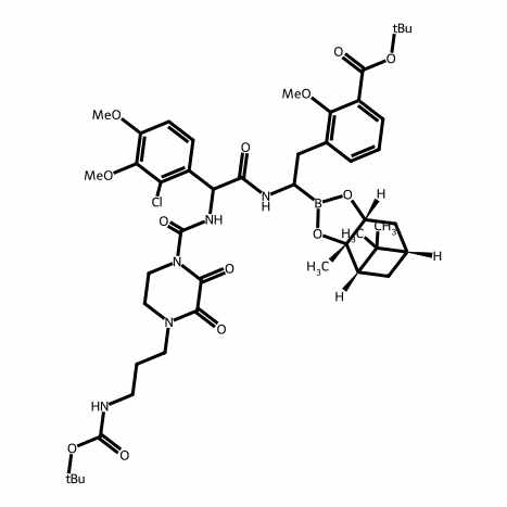 COc1ccc(C(NC(=O)N2CCN(CCCNC(=O)OC(C)(C)C)C(=O)C2=O)C(=O)NC(Cc2cccc(C(=O)OC(C)(C)C)c2OC)B2O[C@@H]3C[C@@H]4C[C@@H](C4(C)C)[C@]3(C)O2)c(Cl)c1OC